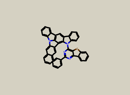 c1ccc(-c2nc(-n3c4ccccc4c4cc5c6ccccc6n6c7cc8ccccc8cc7c(c43)c56)c3sc4ccccc4c3n2)cc1